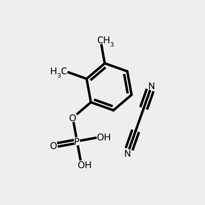 Cc1cccc(OP(=O)(O)O)c1C.N#CC#N